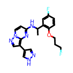 CC(Nc1ccn2ncc(-c3cn[nH]c3)c2n1)c1cc(F)ccc1OCCCF